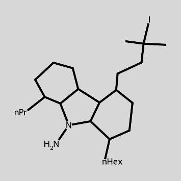 CCCCCCC1CCC(CCC(C)(C)I)C2C3CCCC(CCC)C3N(N)C12